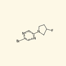 FC1CCN(c2cnc(Br)cn2)C1